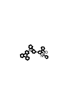 O=c1c2ccccc2c2cc(-c3ccc4c(c3)c3ccccc3n4-c3ccc4c5ccccc5c5ccccc5c4c3)cc3nc(-c4ccccc4)n1c32